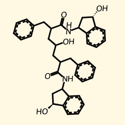 O=C(NC1C[C@H](O)c2ccccc21)C(Cc1ccccc1)CC(O)CC(Cc1ccccc1)C(=O)NC1C[C@H](O)c2ccccc21